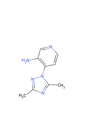 Cc1nc(C)n(-c2ccncc2N)n1